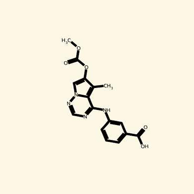 COC(=O)Oc1cn2ncnc(Nc3cccc(C(=O)O)c3)c2c1C